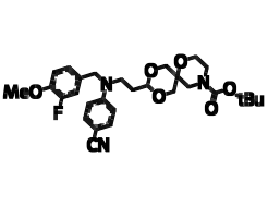 COc1ccc(CN(CCC2OCC3(CO2)CN(C(=O)OC(C)(C)C)CCO3)c2ccc(C#N)cc2)cc1F